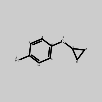 CCc1ccc(OC2CC2)cc1